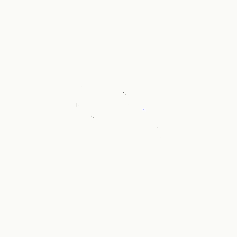 O=C(/C=C/CN1CC2CCC(C1)O2)Nc1ccc2ncnc(Nc3ccc(F)c(Cl)c3)c2c1